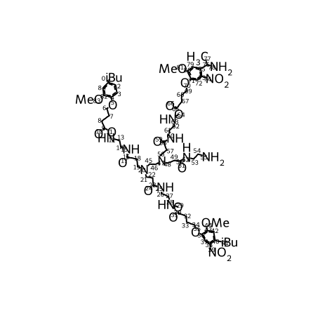 CCC(C)c1ccc(OCCCC(=O)ONCCNC(=O)CCN(CCC(=O)NCCNOC(=O)CCCOc2cc([N+](=O)[O-])c(C(C)CC)cc2OC)CCN(CCC(=O)NCCN)CCC(=O)NCCNOC(=O)CCCOc2cc([N+](=O)[O-])c(C(C)N)cc2OC)c(OC)c1